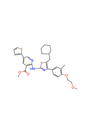 COCCOc1ccc(-c2nc(Nc3ncc(-c4cccs4)cc3C(=O)OC)sc2CC2CCCCC2)cc1C